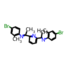 C/C(=N\c1ccc(Br)cc1C)c1cccc(/C(C)=N/c2ccc(Br)cc2C)n1